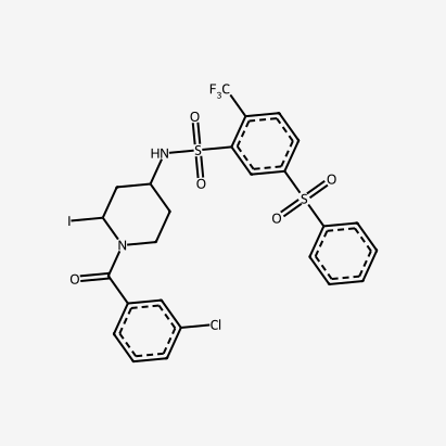 O=C(c1cccc(Cl)c1)N1CCC(NS(=O)(=O)c2cc(S(=O)(=O)c3ccccc3)ccc2C(F)(F)F)CC1I